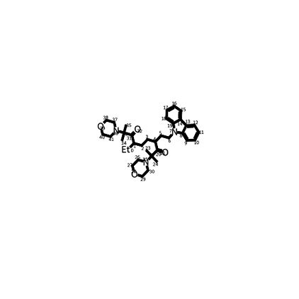 CCC(CCC(CCn1c2ccccc2c2ccccc21)C(=O)C(C)(C)N1CCOCC1)C(=O)C(C)(C)N1CCOCC1